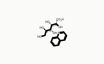 O=C(O)[C@H](O)[C@@H](O)[C@H](O)[C@H](O)CO.c1ccc2ncccc2c1